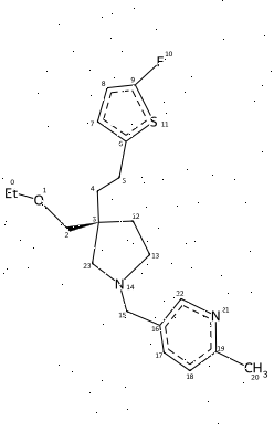 CCOC[C@@]1(CCc2ccc(F)s2)CCN(Cc2ccc(C)nc2)C1